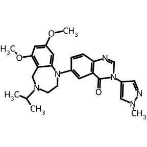 COc1cc(OC)c2c(c1)N(c1ccc3ncn(-c4cnn(C)c4)c(=O)c3c1)CCN(C(C)C)C2